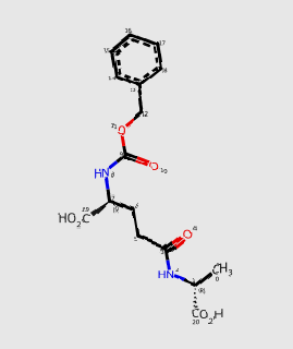 C[C@@H](NC(=O)CC[C@H](NC(=O)OCc1ccccc1)C(=O)O)C(=O)O